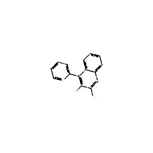 Cc1cc2ccccc2c(-c2ccccn2)c1O